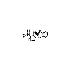 Fc1ccccc1Cn1nnc2c(NC3CC3)nccc21